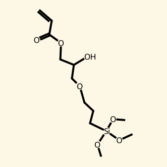 C=CC(=O)OCC(O)COCCC[Si](OC)(OC)OC